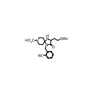 CSCCC1NC2(CCN(C(=O)O)CC2)N(Cc2ccccc2C#N)C1=O